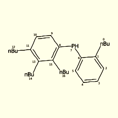 CCCCc1ccccc1Pc1ccc(CCCC)c(CCCC)c1CCCC